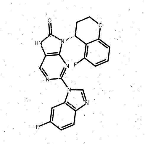 O=c1[nH]c2cnc(-n3cnc4ccc(F)cc43)nc2n1[C@@H]1CCOc2cccc(F)c21